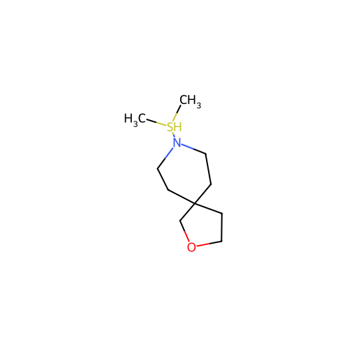 C[SH](C)N1CCC2(CCOC2)CC1